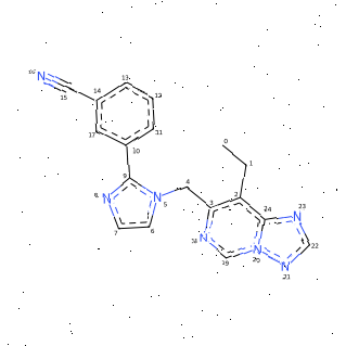 CCc1c(Cn2ccnc2-c2cccc(C#N)c2)ncn2ncnc12